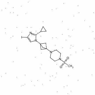 CS(=O)(=O)N1CCN(C23CC(n4cc(I)nc4C4CC4)(C2)C3)CC1